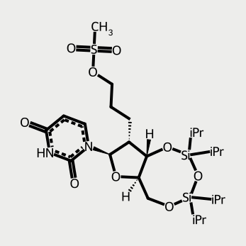 CC(C)[Si]1(C(C)C)OC[C@H]2O[C@@H](n3ccc(=O)[nH]c3=O)[C@H](CCCOS(C)(=O)=O)[C@@H]2O[Si](C(C)C)(C(C)C)O1